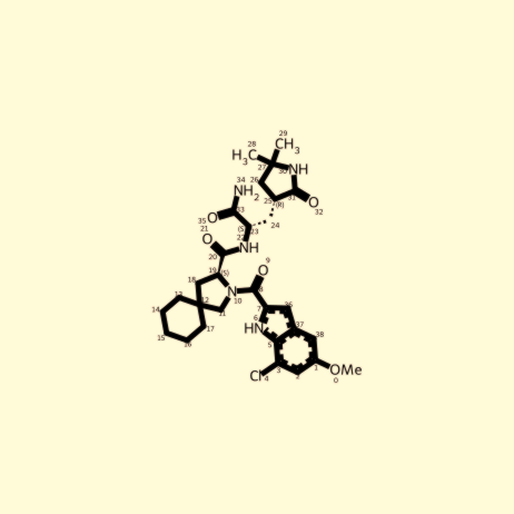 COc1cc(Cl)c2[nH]c(C(=O)N3CC4(CCCCC4)C[C@H]3C(=O)N[C@@H](C[C@@H]3CC(C)(C)NC3=O)C(N)=O)cc2c1